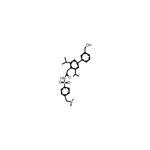 CC(C)c1cc(-c2cccc(CO)c2)cc(C(C)C)c1CC(=O)NS(=O)(=O)c1ccc(CN(C)C)cc1